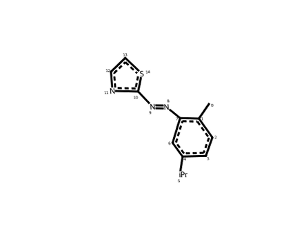 Cc1ccc(C(C)C)cc1/N=N/c1nccs1